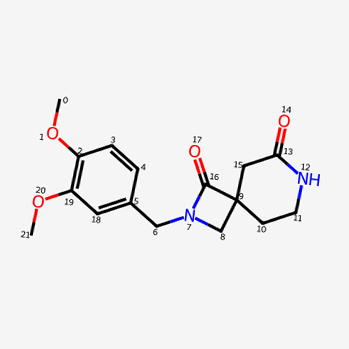 COc1ccc(CN2CC3(CCNC(=O)C3)C2=O)cc1OC